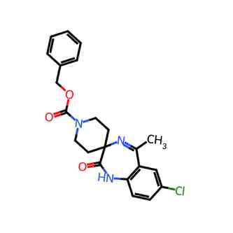 CC1=NC2(CCN(C(=O)OCc3ccccc3)CC2)C(=O)Nc2ccc(Cl)cc21